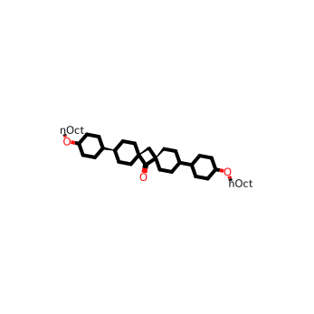 CCCCCCCCOC1CCC(C2CC[C@]3(CC2)C[C@@]2(CC[C@H](C4CCC(OCCCCCCCC)CC4)CC2)C3=O)CC1